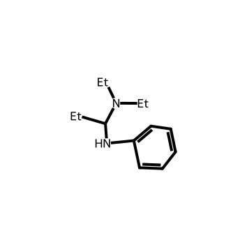 CCC(Nc1ccccc1)N(CC)CC